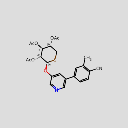 CC(=O)O[C@@H]1[C@@H](OC(C)=O)[C@H](OC(C)=O)CS[C@H]1Oc1cncc(-c2ccc(C#N)c(C)c2)c1